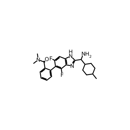 CC1CCC(C(N)c2nc3c(F)c(-c4ccccc4C(=O)N(C)C)c(F)cc3[nH]2)CC1